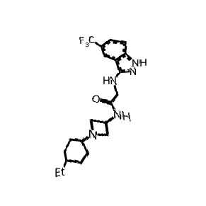 CCC1CCC(N2CC(NC(=O)CNc3n[nH]c4ccc(C(F)(F)F)cc34)C2)CC1